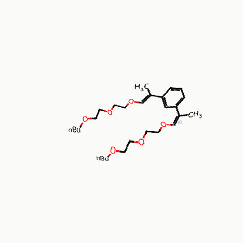 CCCCOCCOCCOC=C(C)c1cccc(/C(C)=C\OCCOCCOCCCC)c1